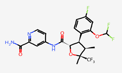 C[C@@H]1[C@H](c2ccc(F)cc2OC(F)F)[C@@H](C(=O)Nc2ccnc(C(N)=O)c2)O[C@]1(C)C(F)(F)F